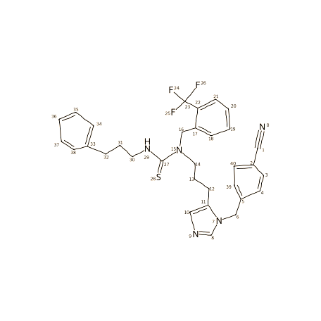 N#Cc1ccc(Cn2cncc2CCCN(Cc2ccccc2C(F)(F)F)C(=S)NCCCc2ccccc2)cc1